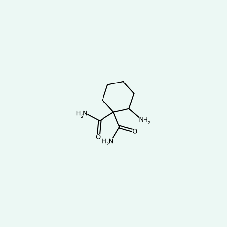 NC(=O)C1(C(N)=O)CCCCC1N